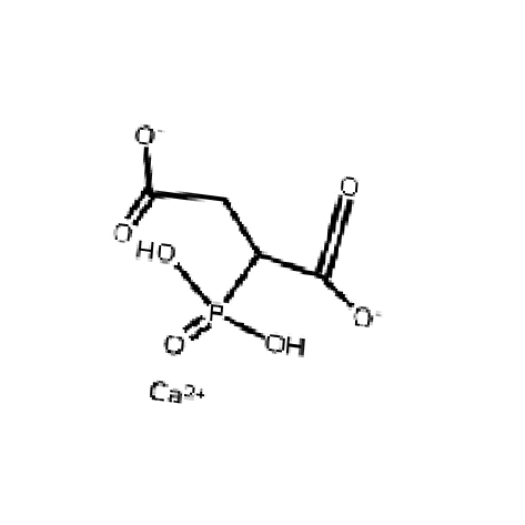 O=C([O-])CC(C(=O)[O-])P(=O)(O)O.[Ca+2]